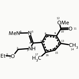 CCOCN/C(=N\NC)c1cc(C(=O)OC)c(C)cc1C